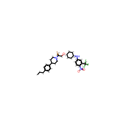 CCCc1ccc(C2CCN(C(=S)CO[C@H]3CC[C@H](Nc4ccc([N+](=O)[O-])c(C(F)(F)F)c4)CC3)CC2)cc1